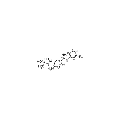 CC(C)(O)CCC(CC(O)C(N)Cc1cccc(F)c1)C(N)=O